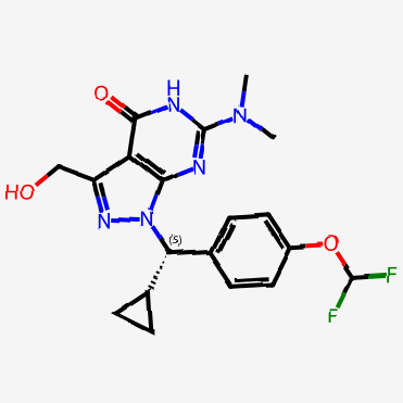 CN(C)c1nc2c(c(CO)nn2[C@H](c2ccc(OC(F)F)cc2)C2CC2)c(=O)[nH]1